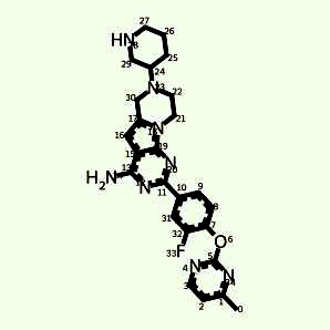 Cc1ccnc(Oc2ccc(-c3nc(N)c4cc5n(c4n3)CCN(C3CCCNC3)C5)cc2F)n1